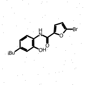 CCC(C)c1ccc(NC(=O)c2ccc(Br)o2)c(O)c1